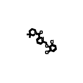 CC1(C)CCCN(C(=O)c2cccc(COc3c(Cl)cccc3Cl)n2)C1